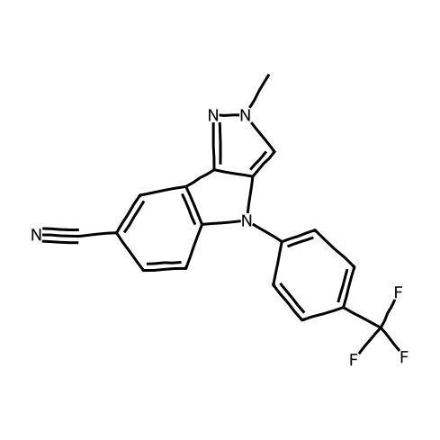 Cn1cc2c(n1)c1cc(C#N)ccc1n2-c1ccc(C(F)(F)F)cc1